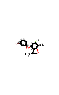 CC1COc2c(C#N)c(F)cc(Oc3cccc(Br)c3)c21